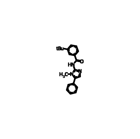 Cn1c(-c2ccccc2)cnc1NC(=O)c1cccc(C(C)(C)C)c1